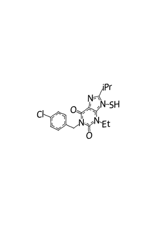 CCn1c(=O)n(Cc2ccc(Cl)cc2)c(=O)c2nc(C(C)C)n(S)c21